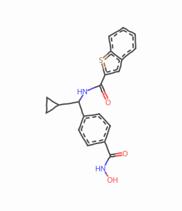 O=C(NO)c1ccc(C(NC(=O)c2cc3ccccc3s2)C2CC2)cc1